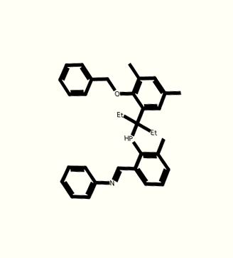 CCC(CC)(Pc1c(C)cccc1/C=N/c1ccccc1)c1cc(C)cc(C)c1OCc1ccccc1